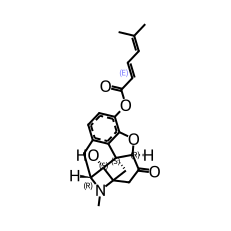 CC(C)=C/C=C/C(=O)Oc1ccc2c3c1O[C@H]1C(=O)CC45C[C@]31[C@]4(O)[C@@H](C2)N5C